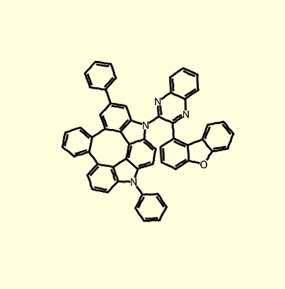 c1ccc(-c2cc3c4ccccc4c4cccc5c4c4c6c3c(c2)n(-c2nc3ccccc3nc2-c2cccc3oc7ccccc7c23)c6ccc4n5-c2ccccc2)cc1